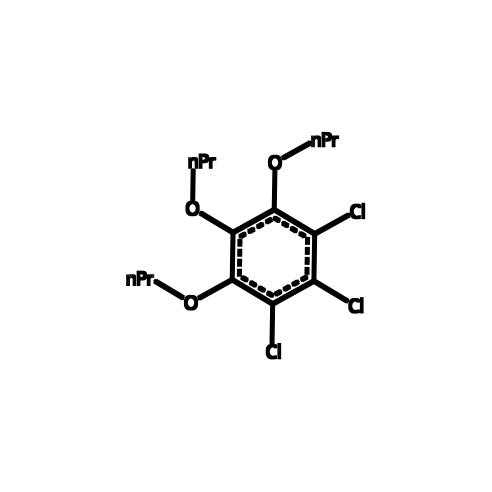 CCCOc1c(Cl)c(Cl)c(Cl)c(OCCC)c1OCCC